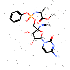 C=N[C@]1(COP(=O)(N[C@@H](C)C(=O)OC)Oc2ccccc2)O[C@@H](n2ccc(N)nc2=O)[C@H](O)[C@@H]1O